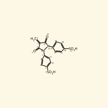 C=C1C(=O)N(c2ccc(S(=O)(=O)O)cc2)N(c2ccc(S(=O)(=O)O)cc2)C1=O